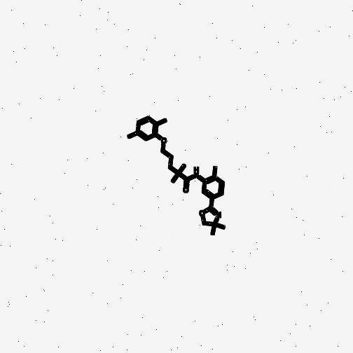 Cc1ccc(C)c(OCCCC(C)(C)C(=O)Nc2cc(C3=NC(C)(C)CO3)ccc2C)c1